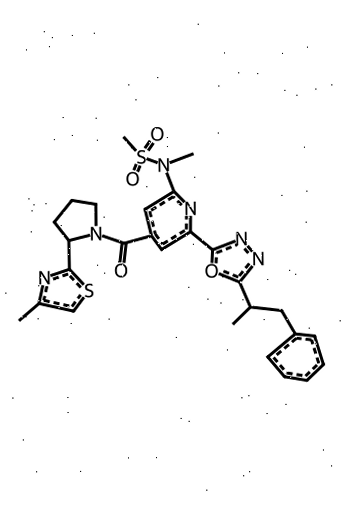 Cc1csc(C2CCCN2C(=O)c2cc(-c3nnc(C(C)Cc4ccccc4)o3)nc(N(C)S(C)(=O)=O)c2)n1